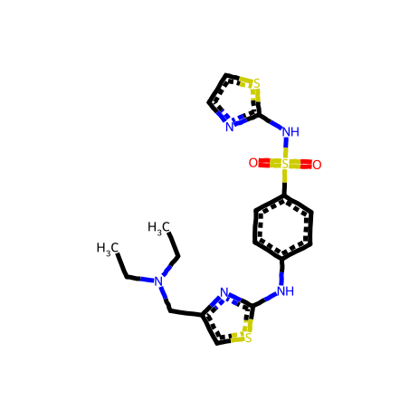 CCN(CC)Cc1csc(Nc2ccc(S(=O)(=O)Nc3nccs3)cc2)n1